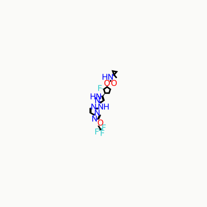 CC1(NC(=O)O[C@H]2CC[C@@H](c3cc(Nc4nccc5nc(OCC(F)(F)F)cn45)n[nH]3)[C@@H]2F)CC1